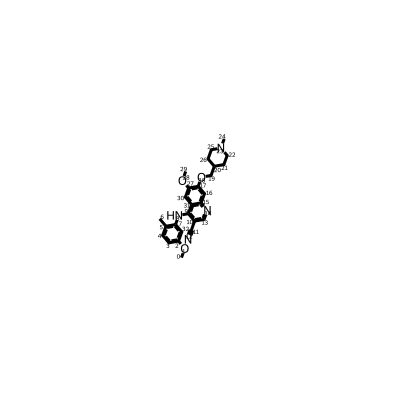 COc1ccc(C)c(Nc2c(C#N)cnc3cc(OCC4CCN(C)CC4)c(OC)cc23)c1